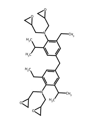 CCc1cc(Cc2cc(CC)c(N(CC3CO3)CC3CO3)c(C(C)C)c2)cc(C(C)C)c1N(CC1CO1)CC1CO1